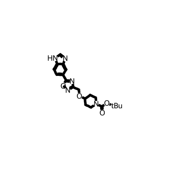 CC(C)(C)OC(=O)N1CCC(OCc2noc(-c3ccc4[nH]cnc4c3)n2)CC1